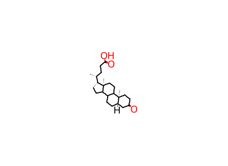 C[C@H](CCC(=O)O)[C@H]1CCC2C3CC[C@@H]4CC(=O)CC[C@]4(C)C3CC[C@@]21C